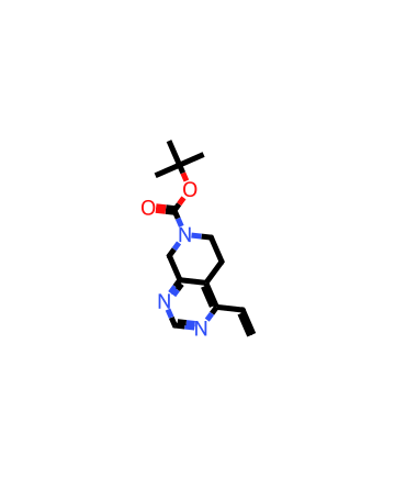 C=Cc1ncnc2c1CCN(C(=O)OC(C)(C)C)C2